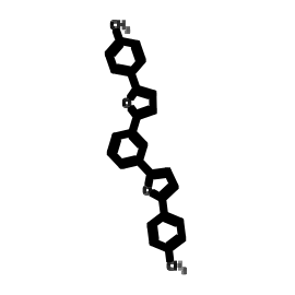 Cc1ccc(-c2ccc(-c3cccc(-c4ccc(-c5ccc(C)cc5)o4)c3)o2)cc1